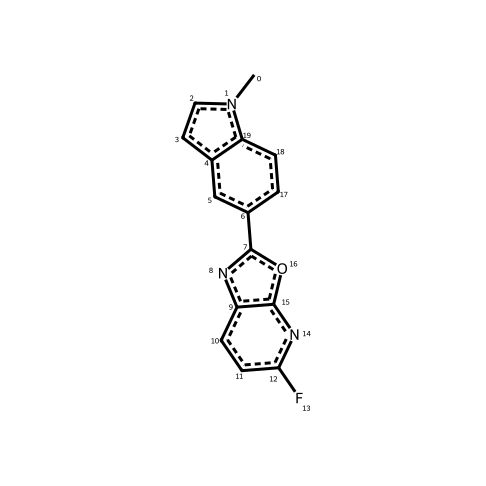 Cn1ccc2cc(-c3nc4ccc(F)nc4o3)ccc21